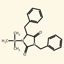 C[Si](C)(C)N1C(=O)N(Cc2ccccc2)C(=O)C1Cc1ccccc1